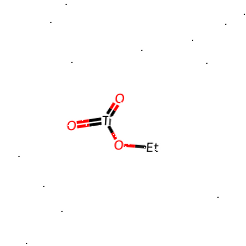 CC[O][Ti](=[O])=[O]